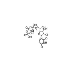 CC(F)[C@]1(COP(=O)(O)OP(=O)(O)OP(=O)(O)O)O[C@@H](n2ccc(=O)[nH]c2=O)[C@H](Cl)[C@@H]1O